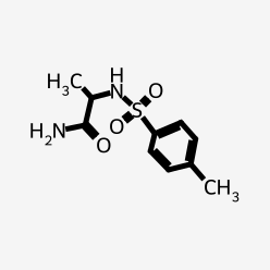 Cc1ccc(S(=O)(=O)NC(C)C(N)=O)cc1